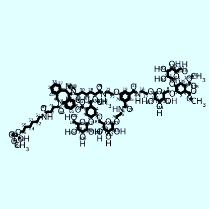 COC(=O)C1C[C@H](OCC2O[C@H](OCCNC(=O)c3cc(OCCNC(=O)CCCCCN4N=NC5c6ccccc6CN(C(=O)CCC(=O)NCCCCCCOP(=O)(O)OC)c6ccccc6C54)cc(C(=O)NCCO[C@H]4OC(CO[C@H]5CC(C(=O)OC)[C@@H](C(=O)OC)CC5O[C@@H]5OC(CO)[C@@H](O)C(O)C5O)[C@@H](O)[C@H](O)C4O)c3)C(O)C(O)[C@@H]2O)C(O[C@H]2OC(CO)[C@@H](O)C(O)C2O)C[C@@H]1C(=O)OC